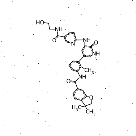 Cc1c(NC(=O)c2ccc3c(c2)OCC3(C)C)cccc1-c1c[nH]c(=O)c(Nc2ccc(C(=O)NCCO)cn2)c1